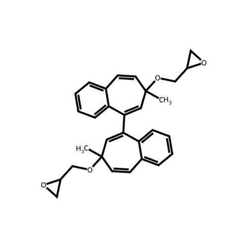 CC1(OCC2CO2)C=Cc2ccccc2C(C2=CC(C)(OCC3CO3)C=Cc3ccccc32)=C1